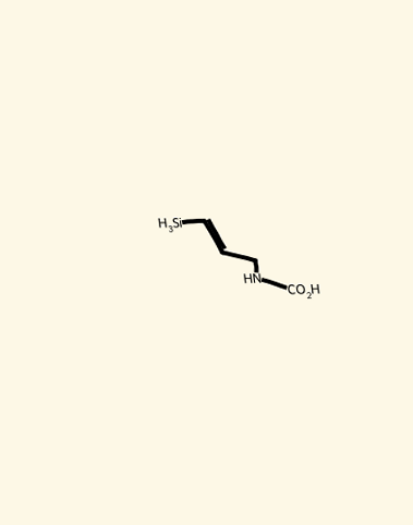 O=C(O)NCC=C[SiH3]